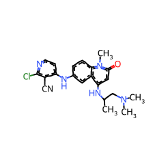 CC(CN(C)C)Nc1cc(=O)n(C)c2ccc(Nc3ccnc(Cl)c3C#N)cc12